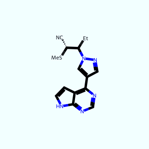 CCC([C@@H](C#N)SC)n1cc(-c2ncnc3[nH]ccc23)cn1